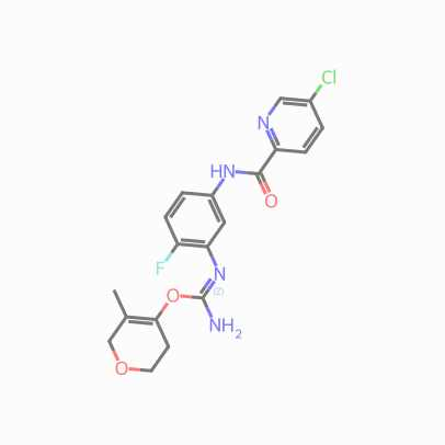 CC1=C(O/C(N)=N\c2cc(NC(=O)c3ccc(Cl)cn3)ccc2F)CCOC1